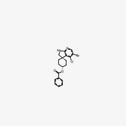 O=C(O[C@H]1CC[C@@]2(CC1)CNc1ncc(Br)c(Cl)c12)c1ccccc1